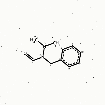 CN(C)N([C]=O)Cc1ccccc1